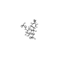 CC(=O)OCC1O[C@H]([C@H](C)c2ccc(Br)cc2C)C(OC(C)=O)[C@@H](C)[C@@H]1C